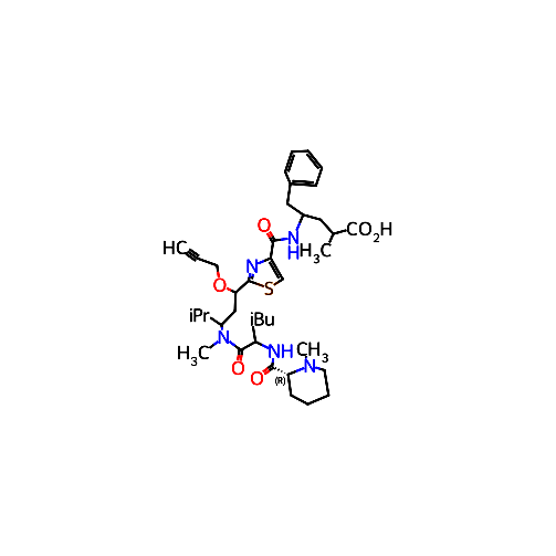 C#CCOC(CC(C(C)C)N(C)C(=O)C(NC(=O)[C@H]1CCCCN1C)C(C)CC)c1nc(C(=O)NC(Cc2ccccc2)CC(C)C(=O)O)cs1